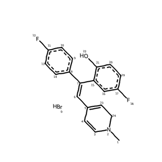 Br.CN1C=CC(C=C(c2ccc(F)cc2)c2cc(F)ccc2O)=CC1